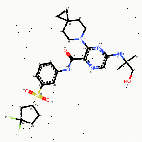 CC(C)(CO)Nc1cnc(C(=O)Nc2cccc(S(=O)(=O)[C@@H]3CCC(F)(F)C3)c2)c(N2CCC3(CC2)CC3)n1